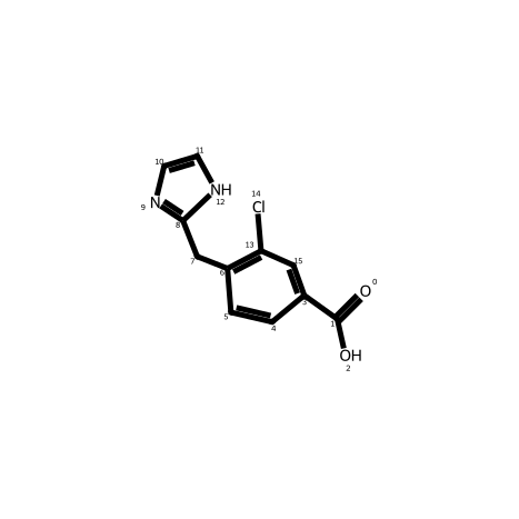 O=C(O)c1ccc(Cc2ncc[nH]2)c(Cl)c1